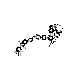 COc1cc(N2CCC(N3CCN(C[C@@H]4CCN(c5ccc6c(c5)C(=O)N(C5CCC(=O)NC5=O)C6=O)C4)CC3)CC2)c(C)cc1Nc1ncc(Br)c(Nc2cccc3ccn(S(C)(=O)=O)c23)n1